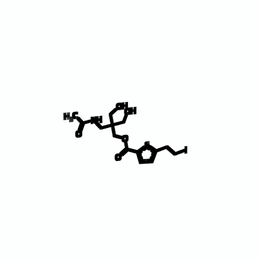 CC(=O)NCC(CO)(CO)COC(=O)c1ccc(CCI)s1